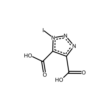 O=C(O)c1nnn(I)c1C(=O)O